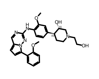 COc1cc([C@@H]2CCN(CCO)C[C@H]2O)ccc1Nc1ncc2ccc(-c3ccccc3OC)n2n1